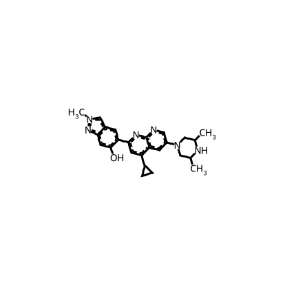 CC1CN(c2cnc3nc(-c4cc5cn(C)nc5cc4O)cc(C4CC4)c3c2)CC(C)N1